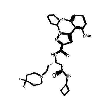 COc1cccc(OC)c1-c1cc(C(=O)N[C@@H](CCN2CCC(F)(F)CC2)CC(=O)NC2CCC2)nn1C1CCCC1